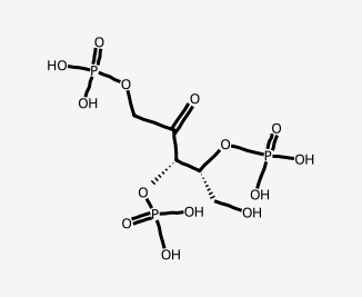 O=C(COP(=O)(O)O)[C@@H](OP(=O)(O)O)[C@@H](CO)OP(=O)(O)O